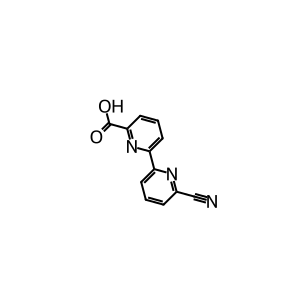 N#Cc1cccc(-c2cccc(C(=O)O)n2)n1